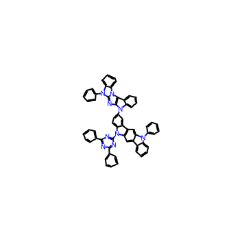 c1ccc(-c2nc(-c3ccccc3)nc(-n3c4ccc(-n5c6ccccc6c6c5nc5n(-c7ccccc7)c7ccccc7n65)cc4c4cc5c(cc43)c3ccccc3n5-c3ccccc3)n2)cc1